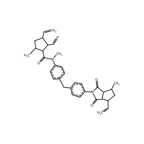 C=CC1CC(C)C(C(=O)N(C)c2ccc(Cc3ccc(N4C(=O)C5C(C)CC(C=C)C5C4=O)cc3)cc2)C1C=O